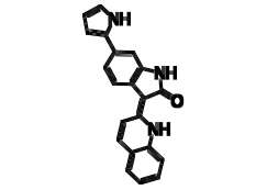 O=C1Nc2cc(-c3ccc[nH]3)ccc2C1=C1C=Cc2ccccc2N1